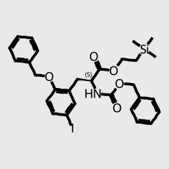 C[Si](C)(C)CCOC(=O)[C@H](Cc1cc(I)ccc1OCc1ccccc1)NC(=O)OCc1ccccc1